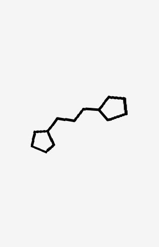 C1CC[C](CCCC2CCCC2)C1